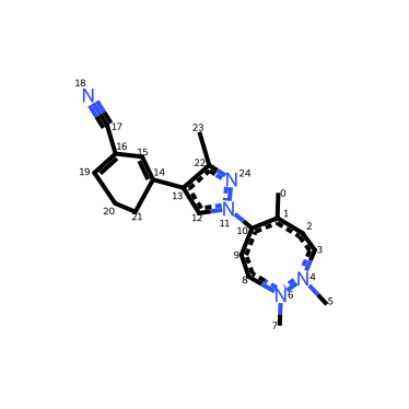 Cc1ccn(C)n(C)ccc1-n1cc(C2=CC(C#N)=CCC2)c(C)n1